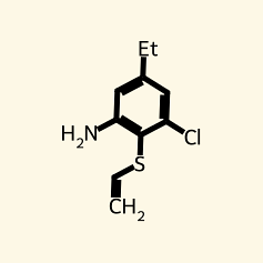 C=CSc1c(N)cc(CC)cc1Cl